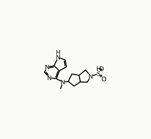 CN(c1ncnc2[nH]ccc12)C1CC2CN([SH](=O)=O)CC2C1